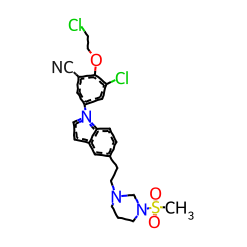 CS(=O)(=O)N1CCCN(CCc2ccc3c(ccn3-c3cc(Cl)c(OCCCl)c(C#N)c3)c2)C1